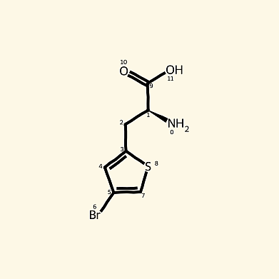 N[C@@H](Cc1cc(Br)cs1)C(=O)O